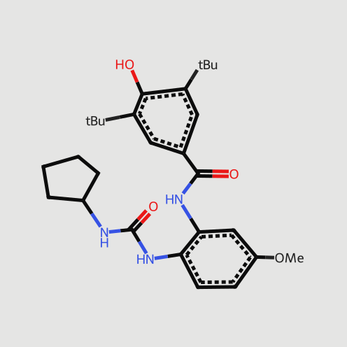 COc1ccc(NC(=O)NC2CCCC2)c(NC(=O)c2cc(C(C)(C)C)c(O)c(C(C)(C)C)c2)c1